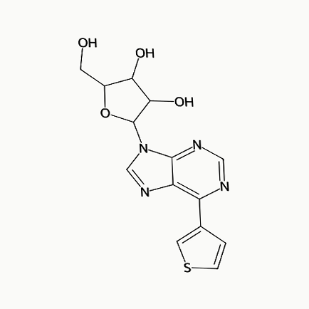 OCC1OC(n2cnc3c(-c4ccsc4)ncnc32)C(O)C1O